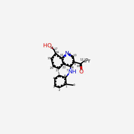 Cc1ccccc1Nc1c(C(=O)C(C)C)cnc2c(CO)cccc12